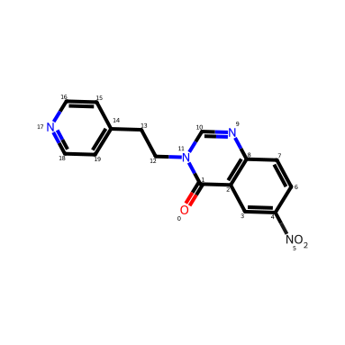 O=c1c2cc([N+](=O)[O-])ccc2ncn1CCc1ccncc1